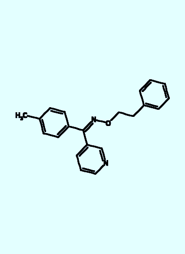 Cc1ccc(C(=NOCCc2ccccc2)c2cccnc2)cc1